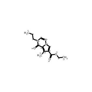 CCCn1cnn2cc(C(=O)OCC)c(C)c2c1=O